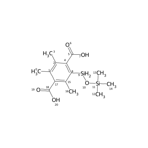 Cc1c(C)c(C(=O)O)c([SiH2]O[Si](C)(C)C)c(C)c1C(=O)O